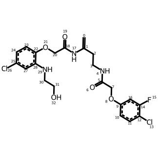 C=C(CCNC(=O)COc1ccc(Cl)c(F)c1)NC(=O)COc1ccc(Cl)cc1NCCO